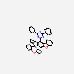 c1ccc(-c2nc(-c3ccccc3)nc(-c3c4c(cc5oc6ccccc6c35)C3(c5ccccc5Oc5ccccc53)c3ccccc3-4)n2)cc1